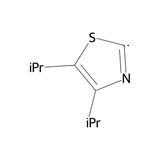 CC(C)c1n[c]sc1C(C)C